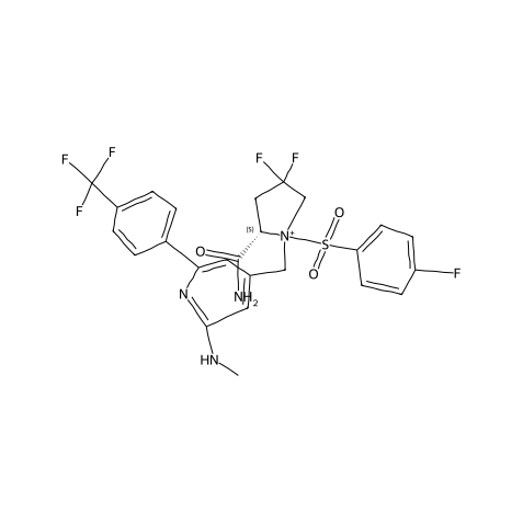 CNc1cc(C[N+]2(S(=O)(=O)c3ccc(F)cc3)CC(F)(F)C[C@H]2C(N)=O)cc(-c2ccc(C(F)(F)F)cc2)n1